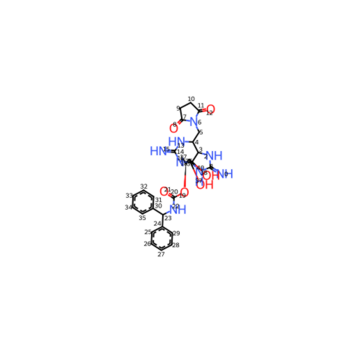 N=C1NC2C(CN3C(=O)CCC3=O)NC(=N)N3C[C@H](OC(=O)NC(c4ccccc4)c4ccccc4)C(O)(O)C23N1